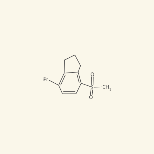 CC(C)c1ccc(S(C)(=O)=O)c2c1CCC2